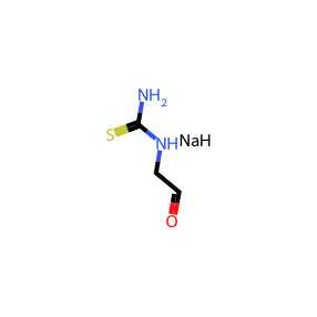 NC(=S)NCC=O.[NaH]